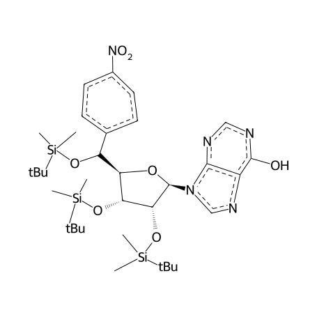 CC(C)(C)[Si](C)(C)OC(c1ccc([N+](=O)[O-])cc1)[C@H]1O[C@@H](n2cnc3c(O)ncnc32)[C@H](O[Si](C)(C)C(C)(C)C)[C@@H]1O[Si](C)(C)C(C)(C)C